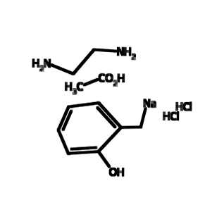 CC(=O)O.Cl.Cl.NCCN.Oc1ccccc1[CH2][Na]